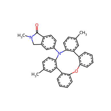 Cc1ccc2c(c1)-c1ccccc1Oc1ccccc1-c1cc(C)ccc1N2c1ccc2c(c1)CN(C)C2=O